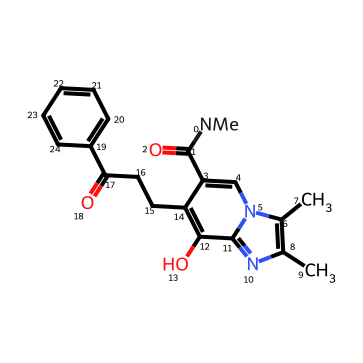 CNC(=O)c1cn2c(C)c(C)nc2c(O)c1CCC(=O)c1ccccc1